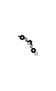 Cc1ccc(N=Cc2ccc(C=Nc3ccc(Cl)cc3)o2)cc1